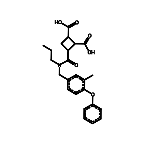 CCCN(Cc1ccc(Oc2ccccc2)c(C)c1)C(=O)C1CC(C(=O)O)C1C(=O)O